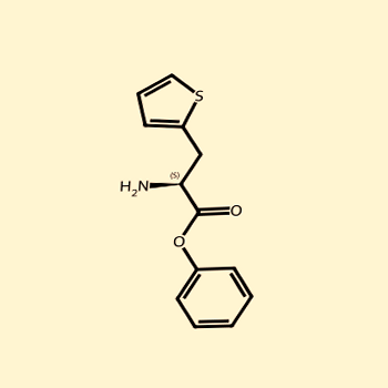 N[C@@H](Cc1cccs1)C(=O)Oc1ccccc1